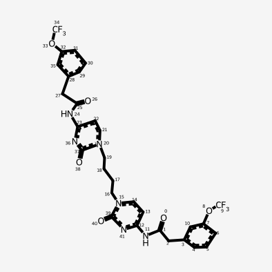 O=C(Cc1cccc(OC(F)(F)F)c1)Nc1ccn(CCCCn2ccc(NC(=O)Cc3cccc(OC(F)(F)F)c3)nc2=O)c(=O)n1